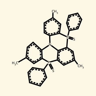 Cc1ccc2c(c1)P(=S)(c1ccccc1)c1cc(C)cc3c1N2c1ccc(C)cc1P3(=S)c1ccccc1